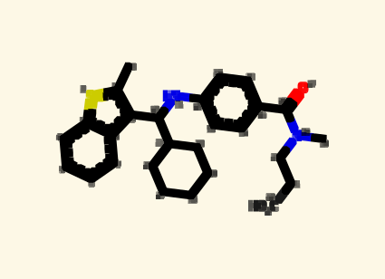 Cc1sc2ccccc2c1C(Nc1ccc(C(=O)N(C)CCC(=O)O)cc1)C1CCCCC1